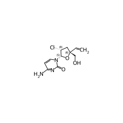 C=C[C@@]1(CO)C[C@@H](Cl)[C@@H](n2ccc(N)nc2=O)O1